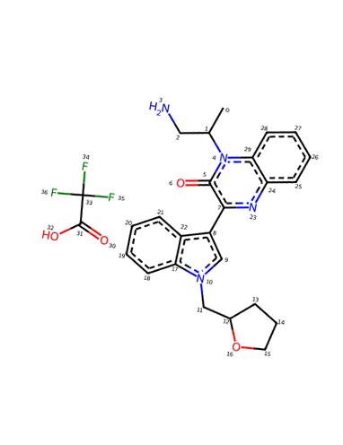 CC(CN)n1c(=O)c(-c2cn(CC3CCCO3)c3ccccc23)nc2ccccc21.O=C(O)C(F)(F)F